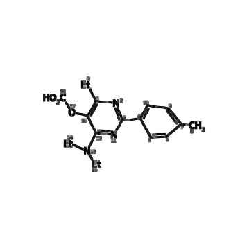 CCc1nc(-c2ccc(C)cc2)nc(N(CC)CC)c1OC(=O)O